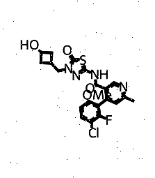 COc1ccc(Cl)c(F)c1-c1cc(C)ncc1C(=O)Nc1nn(CC2CC(O)C2)c(=O)s1